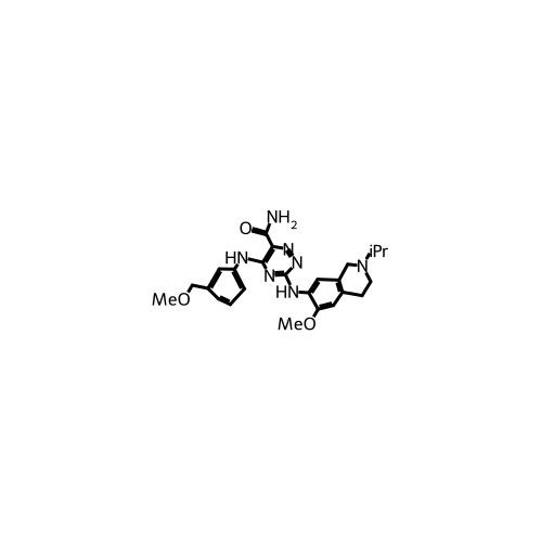 COCc1cccc(Nc2nc(Nc3cc4c(cc3OC)CCN(C(C)C)C4)nnc2C(N)=O)c1